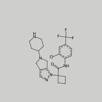 O=C(Nc1ccc(C(F)(F)F)cc1Cl)C1(n2ncc3c2CN(C2CCNCC2)C3)CCC1